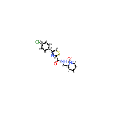 O=C(NCc1cccc[n+]1[O-])c1nc(-c2ccc(Cl)cc2)cs1